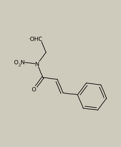 O=[C]CN(C(=O)/C=C/c1ccccc1)[N+](=O)[O-]